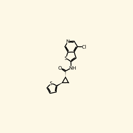 O=C(Nc1cc2c(Cl)cncc2s1)[C@@H]1C[C@H]1c1cccs1